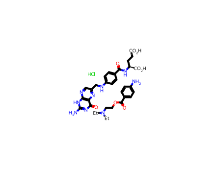 CCN(CC)CCOC(=O)c1ccc(N)cc1.Cl.Nc1nc(=O)c2nc(CNc3ccc(C(=O)N[C@@H](CCC(=O)O)C(=O)O)cc3)cnc2[nH]1